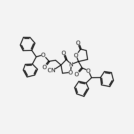 [C-]#[N+]C1(CC(=O)OC(c2ccccc2)c2ccccc2)CON(C2(C(=O)OC(c3ccccc3)c3ccccc3)CCC(=O)O2)C1=O